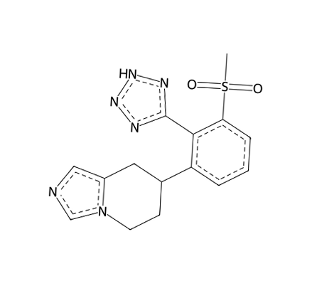 CS(=O)(=O)c1cccc(C2CCn3cncc3C2)c1-c1nn[nH]n1